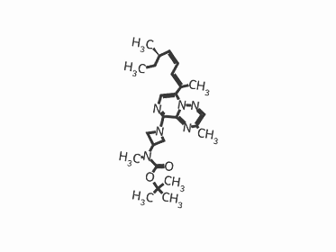 CC[C@@H](C)/C=C\C=C(/C)C1=CN=C(N2CC(N(C)C(=O)OC(C)(C)C)C2)C2=NC(C)=C=NN12